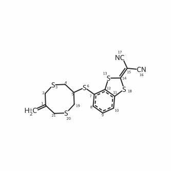 C=C1CSCC(Sc2cccc3c2SC(=C(C#N)C#N)S3)CSC1